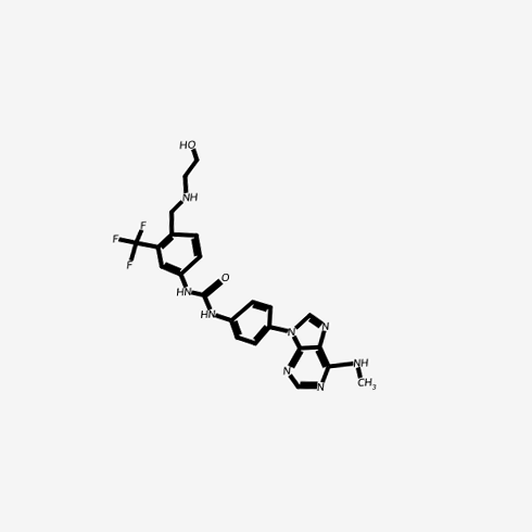 CNc1ncnc2c1ncn2-c1ccc(NC(=O)Nc2ccc(CNCCO)c(C(F)(F)F)c2)cc1